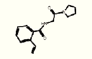 C=Cc1ccccc1C(=O)NCC(=O)N1CCCC1